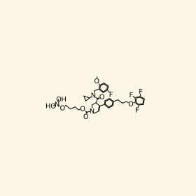 COc1ccc(F)cc1CN(C(=O)C1CN(C(=O)OCCCCON(O)O)CC=C1c1ccc(CCCOc2c(F)ccc(F)c2F)cc1)C1CC1